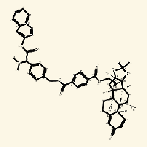 CN(C)C(C(=O)Nc1ccc2ccccc2c1)c1ccc(COC(=O)c2ccc(C(=O)OCC(=O)[C@@]34OC(C)(C)O[C@@H]3C[C@H]3[C@@H]5CCC6=CC(=O)C=C[C@]6(C)[C@@]5(F)[C@@H](O)C[C@@]34C)cc2)cc1